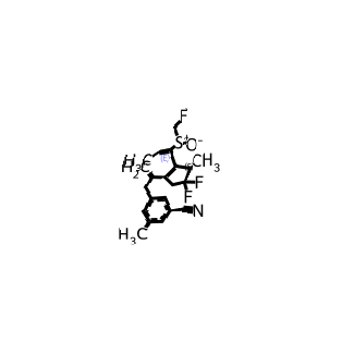 C=C(Cc1cc(C)cc(C#N)c1)C1=C(/C(=C\C)[S+]([O-])CF)[C@H](C)C(F)(F)C1